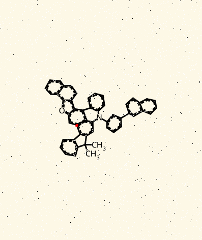 CC1(C)c2ccccc2-c2ccc(N(c3cccc(-c4ccc5ccccc5c4)c3)c3ccccc3-c3cccc4oc5c6ccccc6ccc5c34)cc21